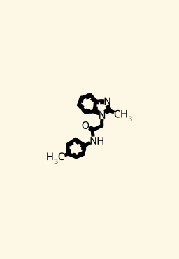 Cc1ccc(NC(=O)Cn2c(C)nc3ccccc32)cc1